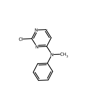 CN(c1ccccc1)c1c[c]nc(Cl)n1